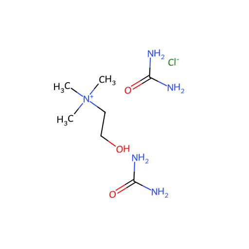 C[N+](C)(C)CCO.NC(N)=O.NC(N)=O.[Cl-]